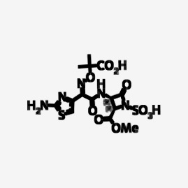 COC(=O)[C@H]1[C@@H](NC(=O)C(=NOC(C)(C)C(=O)O)c2csc(N)n2)C(=O)N1S(=O)(=O)O